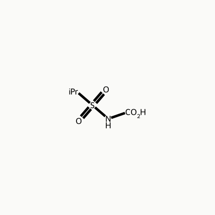 CC(C)S(=O)(=O)NC(=O)O